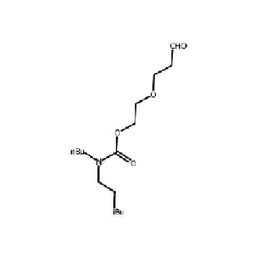 CCCCN(CCC(C)CC)C(=O)OCCOCCC=O